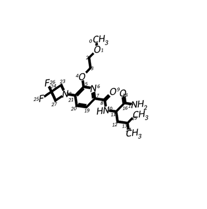 COCCOc1nc(C(=O)NC(CC(C)C)C(N)=O)ccc1N1CC(F)(F)C1